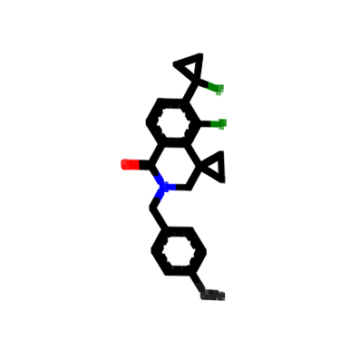 COc1ccc(CN2CC3(CC3)c3c(ccc(C4(F)CC4)c3F)C2=O)cc1